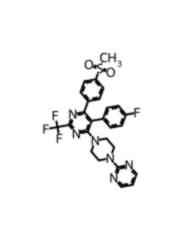 CS(=O)(=O)c1ccc(-c2nc(C(F)(F)F)nc(N3CCN(c4ncccn4)CC3)c2-c2ccc(F)cc2)cc1